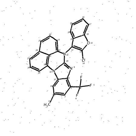 Cc1cc(C(F)(F)F)c2nc3n(-c4c(Cl)oc5ccccc45)c4cccc5cccc(c54)n3c2c1